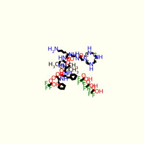 CC(C)C[C@H](NC(=O)[C@H](CCCCN)NC(=O)CNC(=O)CN1CCNCCNCCNCC1)C(=O)N[C@H](C(=O)N[C@@H](Cc1ccccc1)C(=O)N[C@@H](Cc1ccccc1)C(=O)O)C(C)C.O=C(O)C(F)(F)F.O=C(O)C(F)(F)F.O=C(O)C(F)(F)F.O=C(O)C(F)(F)F